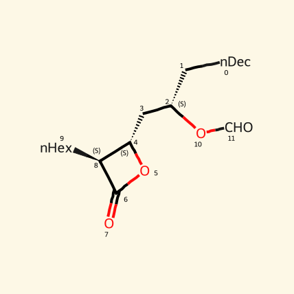 CCCCCCCCCCC[C@@H](C[C@@H]1OC(=O)[C@H]1CCCCCC)OC=O